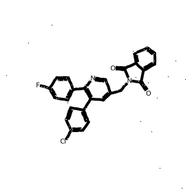 O=C1c2ccccc2C(=O)N1Cc1cnc(-c2ccc(F)cc2)c(-c2ccc(Cl)cc2)c1